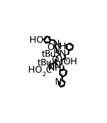 CC(C)(C)[C@H](NC(=O)O)C(=O)N[C@@H](Cc1ccc(-c2ccccn2)cc1)C[C@H](O)[C@H](Cc1ccccc1)NC(=O)[C@@H](N1CCN(Cc2ccc(O)cc2)C1=O)C(C)(C)C